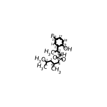 CC(C)CC(C)CS(=O)(=O)NC(C)c1cc(F)ccc1O